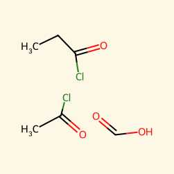 CC(=O)Cl.CCC(=O)Cl.O=CO